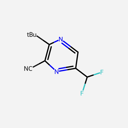 CC(C)(C)c1ncc(C(F)F)nc1C#N